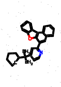 BC(B)(c1ccnc(-c2cc3ccccc3c3c2oc2ccccc23)c1)C1CCCCC1